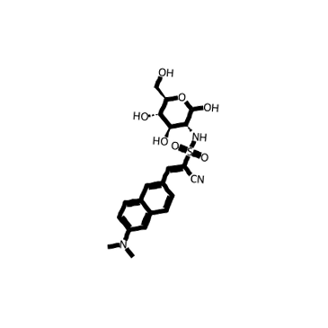 CN(C)c1ccc2cc(/C=C(\C#N)S(=O)(=O)N[C@H]3C(O)O[C@H](CO)[C@@H](O)[C@@H]3O)ccc2c1